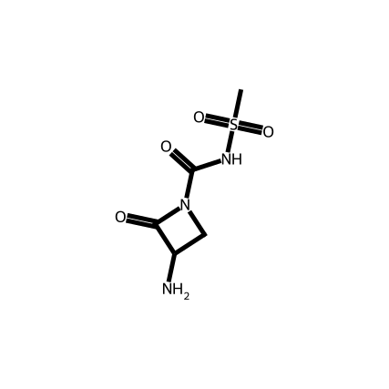 CS(=O)(=O)NC(=O)N1CC(N)C1=O